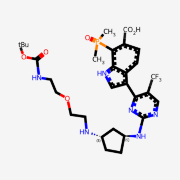 CC(C)(C)OC(=O)NCCOCCN[C@H]1CC[C@H](Nc2ncc(C(F)(F)F)c(-c3c[nH]c4c(P(C)(C)=O)c(C(=O)O)ccc34)n2)C1